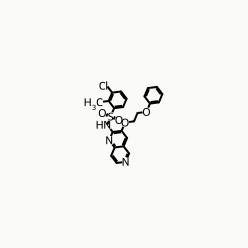 Cc1c(Cl)cccc1S(=O)(=O)Nc1nc2ccncc2cc1OCCOc1ccccc1